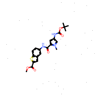 COC(=O)c1cc2cc(NC(=O)c3cc(NC(=O)OC(C)(C)C)cn3C)ccc2s1